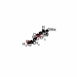 CO[C@H]1C[C@@H](c2nc(-c3ccc(-c4cc(Cl)c(NC(=O)c5ccc(N6CCN(C(=O)C(C)(C)CO)CC6C)nc5)cc4OC(F)(F)F)cc3)c[nH]2)N(C(=O)OC(C)(C)C)C1